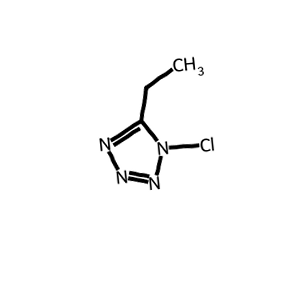 CCc1nnnn1Cl